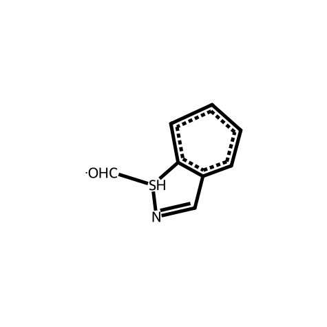 O=[C][SH]1N=Cc2ccccc21